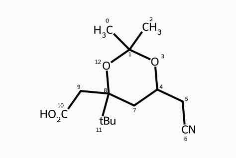 CC1(C)OC(CC#N)CC(CC(=O)O)(C(C)(C)C)O1